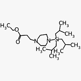 CCOC(=O)CCN1CCN([Si](CC(C)C)(CC(C)C)CC(C)C)CC1